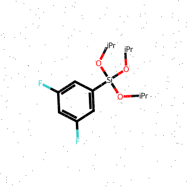 CC(C)O[Si](OC(C)C)(OC(C)C)c1cc(F)cc(F)c1